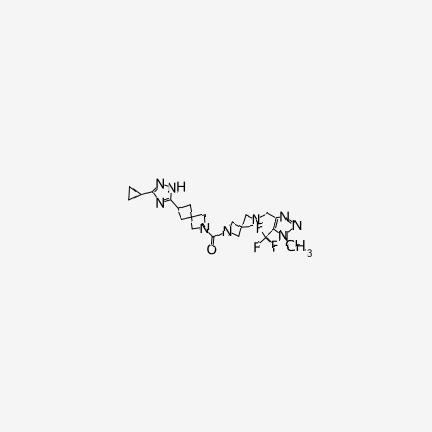 Cn1nnc(CN2CC3(C2)CN(C(=O)N2CC4(CC(c5nc(C6CC6)n[nH]5)C4)C2)C3)c1C(F)(F)F